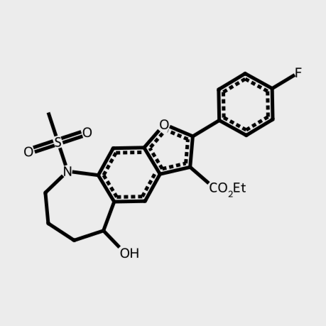 CCOC(=O)c1c(-c2ccc(F)cc2)oc2cc3c(cc12)C(O)CCCN3S(C)(=O)=O